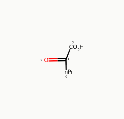 CC[13CH2]C(=O)C(=O)O